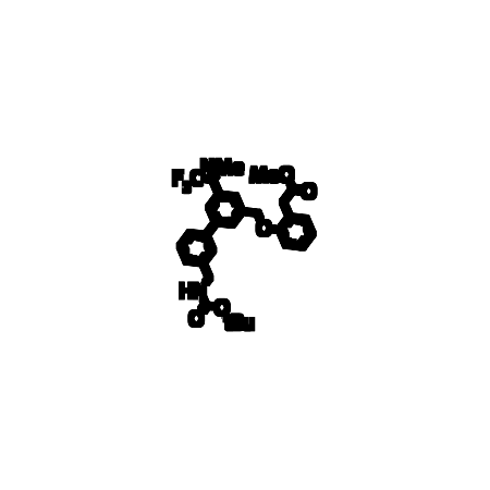 CNC(c1cc(COc2ccccc2CC(=O)OC)cc(-c2cccc(CNC(=O)OC(C)(C)C)c2)c1)C(F)(F)F